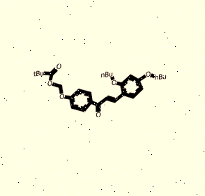 CCCCOc1ccc(C=CC(=O)c2ccc(OCOC(=O)C(C)(C)C)cc2)c(OCCCC)c1